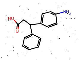 Nc1ccc(C(CC(=O)O)c2ccccc2)cc1